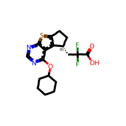 O=C(O)C(F)(F)C[C@H]1CCc2sc3ncnc(OC4CCCCC4)c3c21